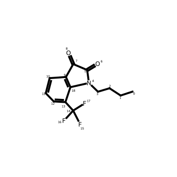 CCCCN1C(=O)C(=O)c2cccc(C(F)(F)F)c21